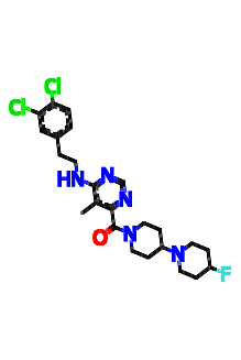 Cc1c(NCCc2ccc(Cl)c(Cl)c2)ncnc1C(=O)N1CCC(N2CCC(F)CC2)CC1